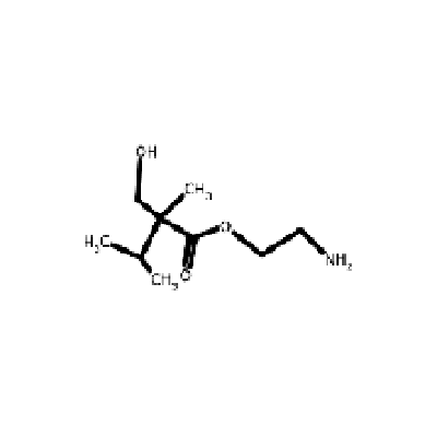 CC(C)C(C)(CO)C(=O)OCCN